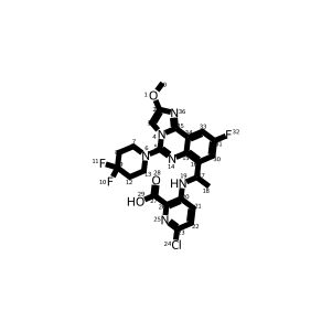 COc1cn2c(N3CCC(F)(F)CC3)nc3c(C(C)Nc4ccc(Cl)nc4C(=O)O)cc(F)cc3c2n1